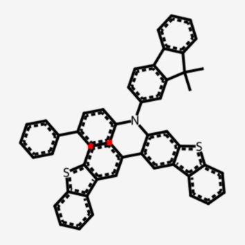 CC1(C)c2ccccc2-c2ccc(N(c3ccc(-c4ccccc4)cc3)c3cc4sc5ccccc5c4cc3-c3ccc4sc5ccccc5c4c3)cc21